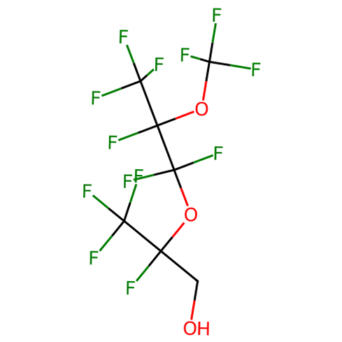 OCC(F)(OC(F)(F)C(F)(OC(F)(F)F)C(F)(F)F)C(F)(F)F